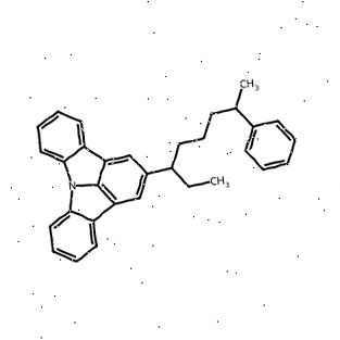 CCC(CCCC(C)c1ccccc1)c1cc2c3ccccc3n3c4ccccc4c(c1)c23